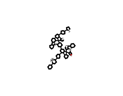 c1ccc(-c2ccc(-c3ccc(-c4cc(-c5ccc6c(c5)-n5c7ccccc7c7cccc(c75)C65c6ccccc6-c6c(-c7ccc(-c8cccs8)cc7)cccc65)cc5c4-c4ccccc4C54c5ccccc5-n5c6ccccc6c6cccc4c65)cc3)nn2)cc1